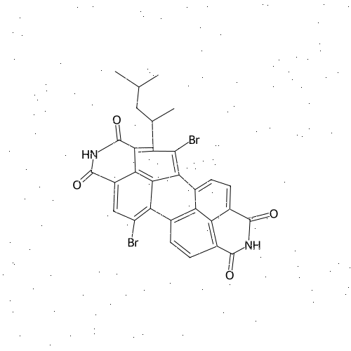 CC(C)CC(C)c1c2c3c(cc(Br)c4c5ccc6c7c(ccc(c(c1Br)c34)c75)C(=O)NC6=O)C(=O)NC2=O